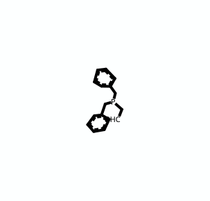 O=[C]CP(Cc1ccccc1)Cc1ccccc1